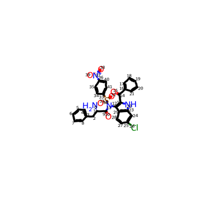 N[C@@H](Cc1ccccc1)C(=O)N(c1c(C(=O)c2ccccc2)[nH]c2cc(Cl)ccc12)S(=O)(=O)c1ccc([N+](=O)[O-])cc1